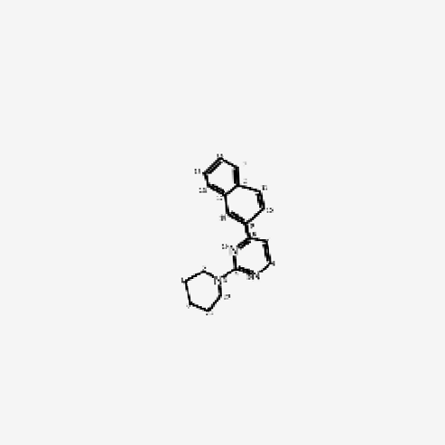 [CH]1CCN(c2nccc(-c3ccc4ccccc4c3)n2)CC1